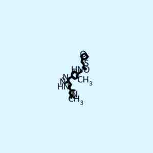 Cc1cc(-c2ncnc3[nH]c(-c4cnn(C)c4)cc23)ccc1CNC(=O)c1cc2c(s1)CCOC2